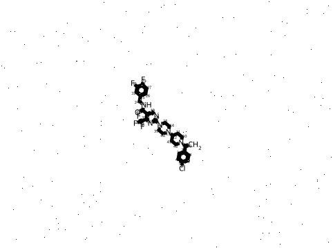 C=C(c1ccc(Cl)cc1)N1CCC(N2CCN(c3ncc(C(=O)NCc4ccc(F)c(F)c4)c(C(F)(F)F)n3)CC2)CC1